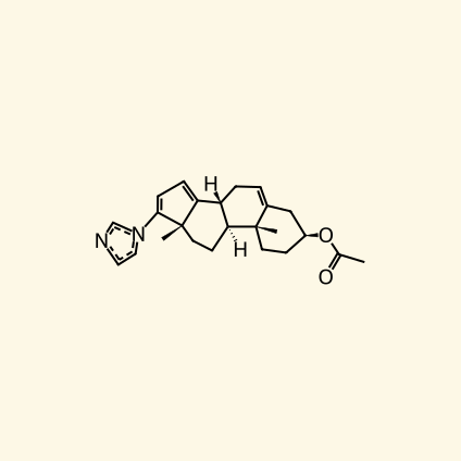 CC(=O)O[C@H]1CC[C@@]2(C)C(=CC[C@H]3C4=CC=C(n5ccnc5)[C@@]4(C)CC[C@@H]32)C1